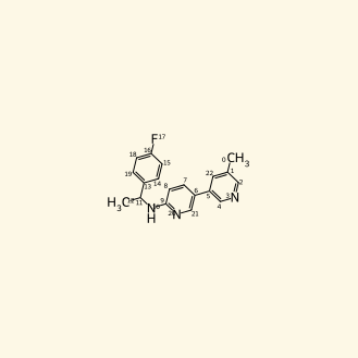 Cc1cncc(-c2ccc(NC(C)c3ccc(F)cc3)nc2)c1